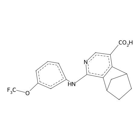 O=C(O)c1cnc(Nc2cccc(OC(F)(F)F)c2)c2c1C1CCC2C1